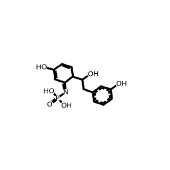 O=P(O)(O)N=C1C=C(O)C=CC1C(O)Cc1cccc(O)c1